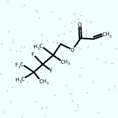 C=CC(=O)OCC(C)(C)C(F)(F)C(C)(C)C(F)(F)F